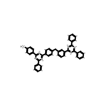 Cc1ccc(-c2nc(-c3ccccc3)nc(-c3ccc(Cc4cccc(-c5nc(-c6ccccc6)nc(-c6ccccc6)n5)c4)cc3)n2)cc1